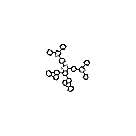 c1ccc(-c2cc(-c3ccccc3)nc(-c3ccc(-c4nc(-c5ccc(-c6cc(-c7ccccc7)nc(-c7ccccc7)c6)cc5)c5cc(-c6ccc7c8c(cccc68)-c6ccccc6-7)cc(-c6ccc7c8c(cccc68)-c6ccccc6-7)c5n4)cc3)c2)cc1